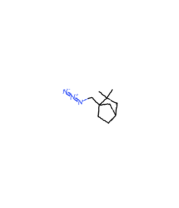 CC1(C)CC2CCC1(CN=[N+]=[N-])C2